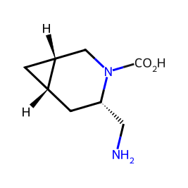 NC[C@@H]1C[C@@H]2C[C@@H]2CN1C(=O)O